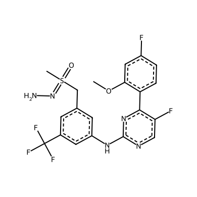 COc1cc(F)ccc1-c1nc(Nc2cc(CS(C)(=O)=NN)cc(C(F)(F)F)c2)ncc1F